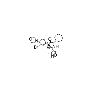 Cc1nocc1C(=O)NC(C(=O)Nc1ccc(N2CCOCC2)c(Br)c1)C1CCCCCCC1